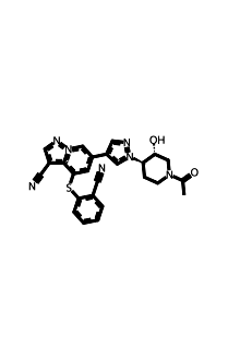 CC(=O)N1CC[C@@H](n2cc(-c3cc(Sc4ccccc4C#N)c4c(C#N)cnn4c3)cn2)[C@H](O)C1